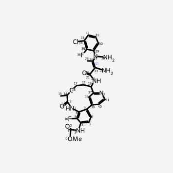 COC(=O)Nc1ccc2c(c1F)NC(=O)C(C)CCCC(NC(=O)/C(N)=C(\C)N(N)c1cccc(Cl)c1F)c1cc-2ccn1